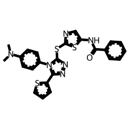 CN(C)c1ccc(-n2c(Sc3ncc(NC(=O)c4ccccc4)s3)nnc2-c2cccs2)cc1